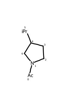 CC(=O)N1CCC(C(C)C)C1